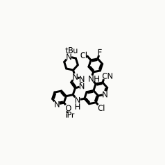 CC(C)Oc1ncccc1C(Nc1cc(Cl)c2ncc(C#N)c(Nc3ccc(F)c(Cl)c3)c2c1)c1cn(C2CCN(C(C)(C)C)CC2)nn1